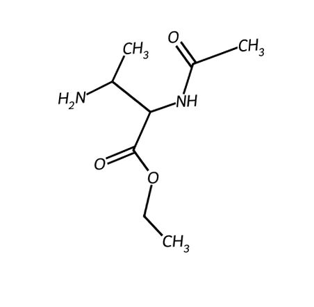 CCOC(=O)C(NC(C)=O)C(C)N